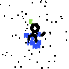 CCc1c(-c2nnn[nH]2)n(CC)c2ccc(F)cc12.N